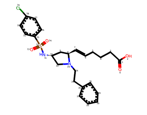 O=C(O)CCCC=C[C@@H]1C[C@@H](NS(=O)(=O)c2ccc(Cl)cc2)CN1CCc1ccccc1